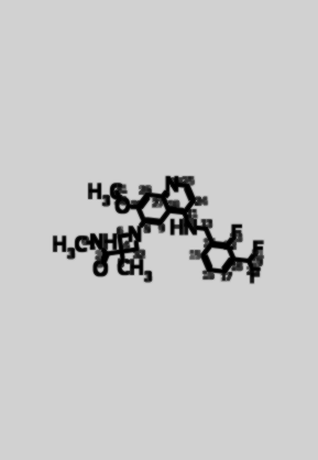 CNC(=O)C1(C)CN(c2cc3c(NCc4cccc(C(F)F)c4F)ccnc3cc2OC)C1